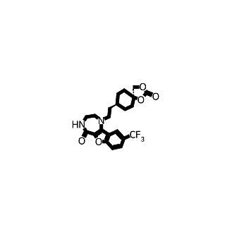 O=C1OC[C@]2(CC[C@H](CCN3CCNC(=O)c4oc5ccc(C(F)(F)F)cc5c43)CC2)O1